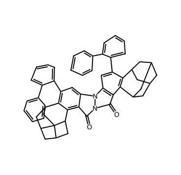 O=c1c2c3c(c(-c4ccccc4-c4ccccc4)cc2n2c4cc(-c5ccccc5-c5ccccc5)c5c(c4c(=O)n12)C1CC2CC4CC5CC421)C1CC2CC(C1)CC3C2